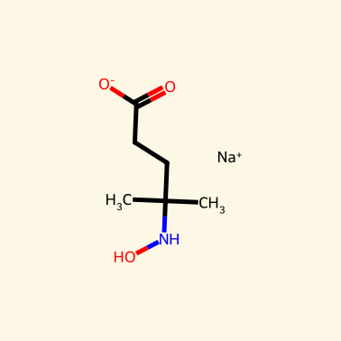 CC(C)(CCC(=O)[O-])NO.[Na+]